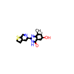 Cc1cc(O)cc2c(=O)[nH]c(-c3cc4ccsc4cn3)nc12